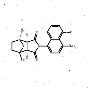 CC12CC[C@](C)(O1)[C@H]1C(=O)N(c3ccc([N+](=O)[O-])c4c(F)cccc34)C(=O)[C@H]12